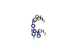 C=C(c1cc(-c2ccc(CN3CCS(C)(C)CC3)cc2)nc2ccc(F)cc12)N1CCCCC1